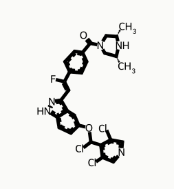 C[C@@H]1CN(C(=O)c2ccc(/C(F)=C/c3n[nH]c4ccc(OC(Cl)c5c(Cl)cncc5Cl)cc34)cc2)C[C@H](C)N1